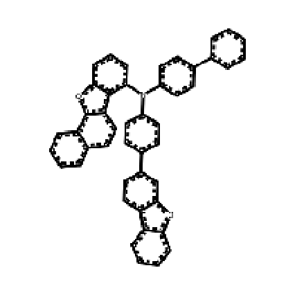 c1ccc(-c2ccc(N(c3ccc(-c4ccc5c(c4)oc4ccccc45)cc3)c3cccc4oc5c6ccccc6ccc5c34)cc2)cc1